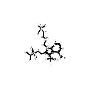 CC(C)S(=O)(=O)CCc1c(C(F)(F)F)c2c(N)ccnc2n1COCC[Si](C)(C)C